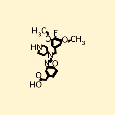 CCOc1cc(CN(c2nc3cc(CC(=O)O)ccc3o2)C2CCNCC2)cc(OCC)c1F